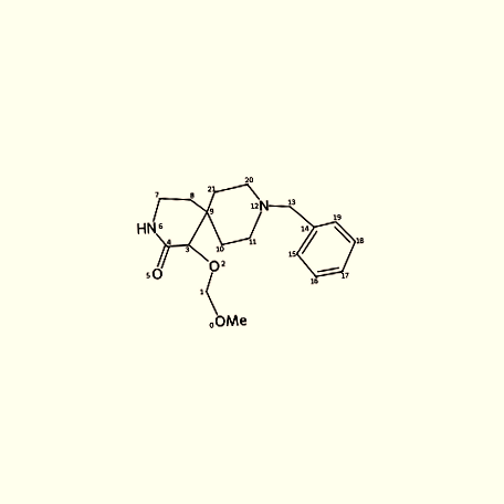 COCOC1C(=O)NCCC12CCN(Cc1ccccc1)CC2